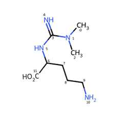 CN(C)C(=N)NC(CCCN)C(=O)O